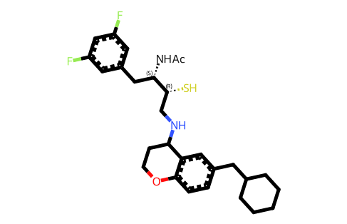 CC(=O)N[C@@H](Cc1cc(F)cc(F)c1)[C@H](S)CNC1CCOc2ccc(CC3CCCCC3)cc21